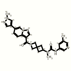 CN(C(=O)Nc1cncc(C(F)(F)F)c1)C1CC2(C1)CN(C(=O)c1cnn3cc(-c4cnn(C)c4)ccc13)C2